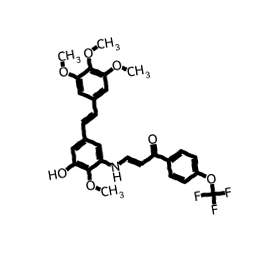 COc1cc(C=Cc2cc(O)c(OC)c(NC=CC(=O)c3ccc(OC(F)(F)F)cc3)c2)cc(OC)c1OC